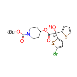 CC(C)(C)OC(=O)N1CCC(OC(=O)[C@](O)(c2cccs2)c2ccc(Br)s2)CC1